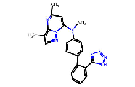 Cc1cc(N(C)c2ccc(-c3ccccc3-c3nnn[nH]3)cc2)n2ncc(C)c2n1